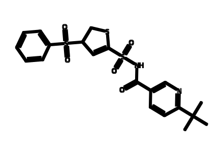 CC(C)(C)c1ccc(C(=O)NS(=O)(=O)C2=CC(S(=O)(=O)c3ccccc3)CS2)cn1